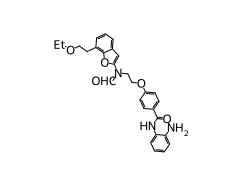 CCOCCc1cccc2cc(N(C=O)CCOc3ccc(C(=O)Nc4ccccc4N)cc3)oc12